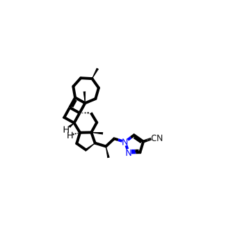 C[C@@H]1CCC2=C3C[C@H]4[C@@H]5CC[C@H]([C@H](C)Cn6cc(C#N)cn6)[C@@]5(C)CC[C@@]34[C@@]2(C)CC1